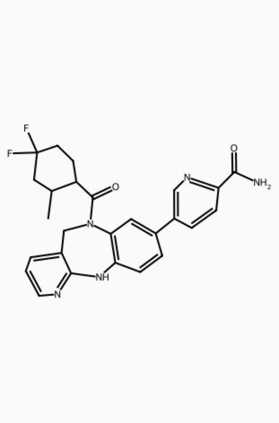 CC1CC(F)(F)CCC1C(=O)N1Cc2cccnc2Nc2ccc(-c3ccc(C(N)=O)nc3)cc21